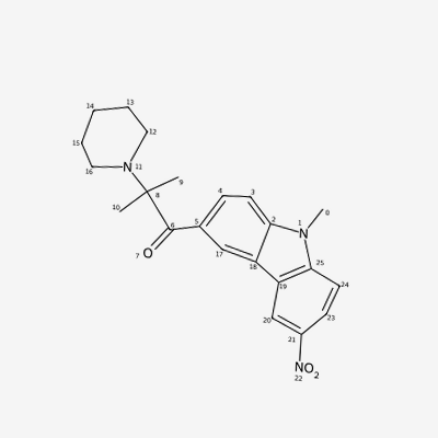 Cn1c2ccc(C(=O)C(C)(C)N3CCCCC3)cc2c2cc([N+](=O)[O-])ccc21